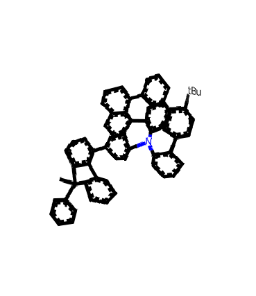 CC(C)(C)c1ccc(-c2ccccc2N(c2ccc(-c3cccc4c3-c3ccccc3C4(C)c3ccccc3)cc2)c2ccccc2-c2cccc3cccc(-c4ccccc4)c23)cc1